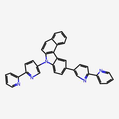 c1ccc(-c2ccc(-c3ccc4c(c3)c3c5ccccc5ccc3n4-c3ccc(-c4ccccn4)nc3)cn2)nc1